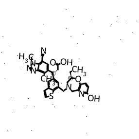 CC[C@@H]1CN(Cc2cc([C@@H](CC(=O)O)c3cc(C#N)c4c(nnn4C)c3C)cc3ccsc23)Cc2nc(O)ccc2O1